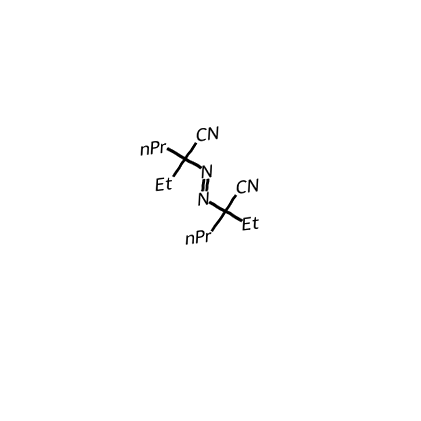 CCCC(C#N)(CC)/N=N/C(C#N)(CC)CCC